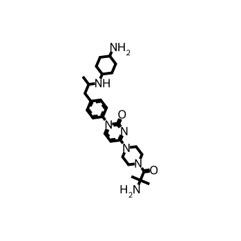 CC(Cc1ccc(-n2ccc(N3CCN(C(=O)C(C)(C)N)CC3)nc2=O)cc1)NC1CCC(N)CC1